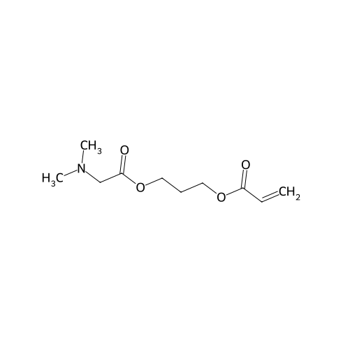 C=CC(=O)OCCCOC(=O)CN(C)C